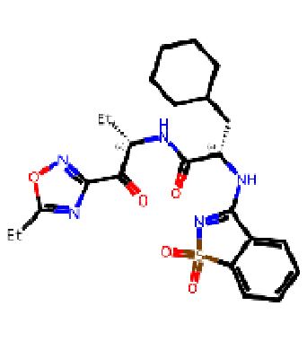 CCc1nc(C(=O)[C@H](CC)NC(=O)[C@H](CC2CCCCC2)NC2=NS(=O)(=O)c3ccccc32)no1